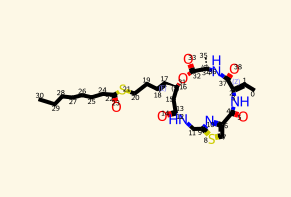 C/C=C1\NC(=O)c2csc(n2)CNC(=O)C[C@@H](/C=C/CCSC(=O)CCCCCCC)OC(=O)[C@H](C)NC1=O